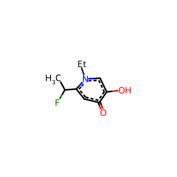 CCn1cc(O)c(=O)cc1C(C)F